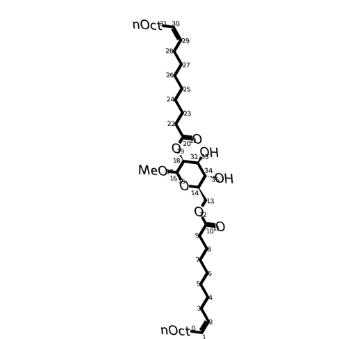 CCCCCCCC/C=C\CCCCCCCC(=O)OC[C@H]1OC(OC)[C@H](OC(=O)CCCCCCC/C=C\CCCCCCCC)[C@@H](O)[C@@H]1O